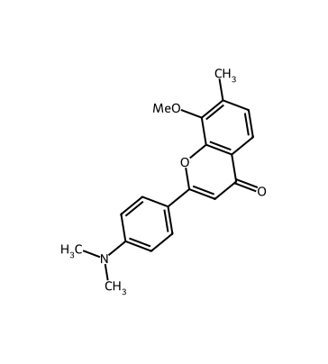 COc1c(C)ccc2c(=O)cc(-c3ccc(N(C)C)cc3)oc12